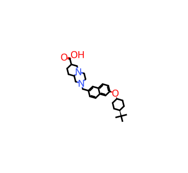 CC(C)(C)[C@H]1CC[C@H](Oc2ccc3cc(CN4CCN5CC(C(=O)O)CCC5C4)ccc3c2)CC1